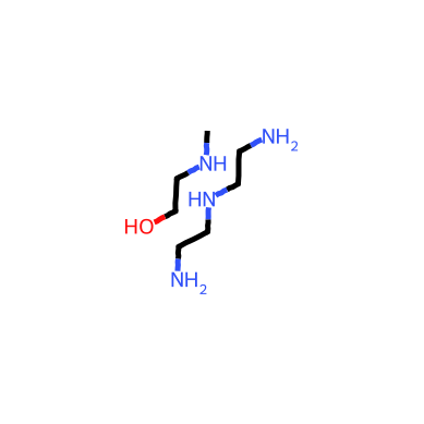 CNCCO.NCCNCCN